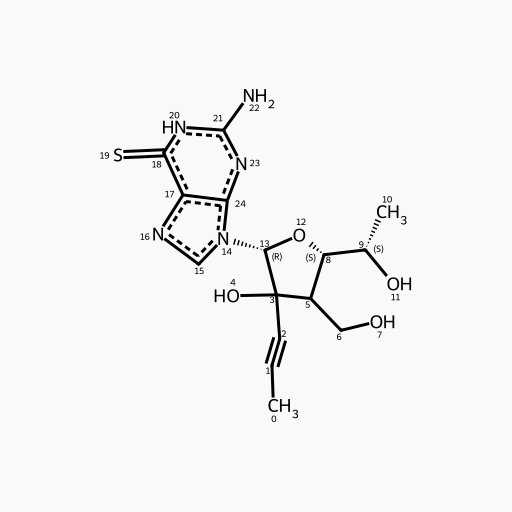 CC#CC1(O)C(CO)[C@@H]([C@H](C)O)O[C@H]1n1cnc2c(=S)[nH]c(N)nc21